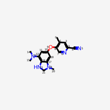 Cc1cc(C#N)ncc1Oc1cc(N(C)C)c2c(c1)N(C)CN2